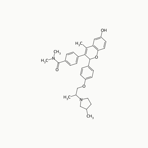 CC1=C(c2ccc(C(=O)N(C)C)cc2)C(c2ccc(OCC(C)N3CCC(C)C3)cc2)Oc2ccc(O)cc21